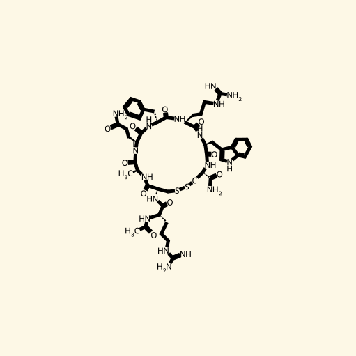 CC(=O)N[C@@H](CCCNC(=N)N)C(=O)N[C@H]1CSSC[C@@H](C(N)=O)NC(=O)[C@H](Cc2c[nH]c3ccccc23)NC(=O)[C@H](CCCNC(=N)N)NC(=O)[C@@H](Cc2ccccc2)NC(=O)[C@H](CCC(N)=O)NC(=O)[C@H](C)NC1=O